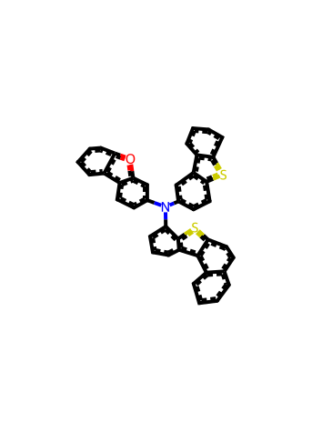 c1ccc2c(c1)ccc1sc3c(N(c4ccc5c(c4)oc4ccccc45)c4ccc5sc6ccccc6c5c4)cccc3c12